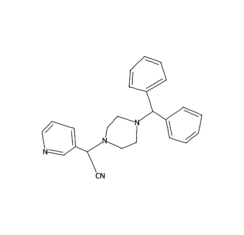 N#CC(c1cccnc1)N1CCN(C(c2ccccc2)c2ccccc2)CC1